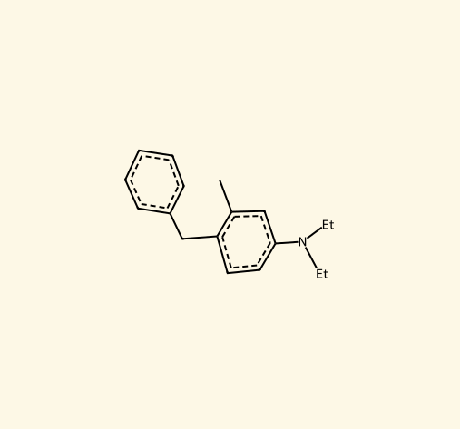 CCN(CC)c1ccc(Cc2ccccc2)c(C)c1